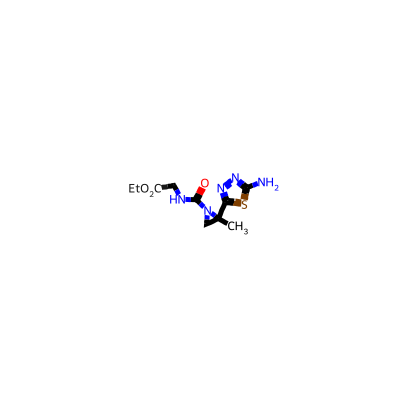 CCOC(=O)CNC(=O)N1CC1(C)c1nnc(N)s1